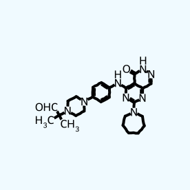 CC(C)(C=O)N1CCN(c2ccc(Nc3nc(N4CCCCCC4)nc4cn[nH]c(=O)c34)cc2)CC1